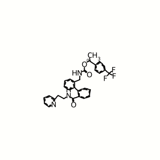 C[C@H](OC(=O)NCc1ccccc1-c1ccccc1C(=O)NCCc1ccccn1)c1ccc(C(F)(F)F)cc1